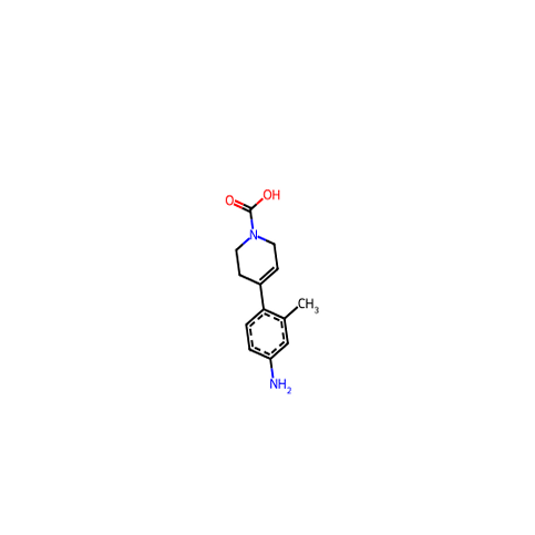 Cc1cc(N)ccc1C1=CCN(C(=O)O)CC1